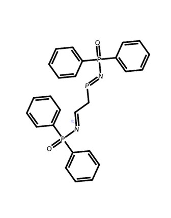 O=P(N=PC/C=N/P(=O)(c1ccccc1)c1ccccc1)(c1ccccc1)c1ccccc1